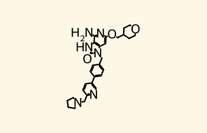 Nc1nc(OCC2CCOCC2)cc2c1[nH]c(=O)n2Cc1ccc(-c2ccc(CN3CCCC3)nc2)cc1